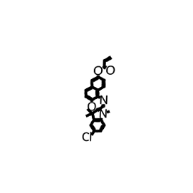 C=CC(=O)Oc1ccc2c3c(ccc2c1)OC1(C=N3)N(C)c2ccc(Cl)cc2C1(C)C